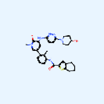 Cc1c(NC(=O)c2cc3c(s2)CCCC3)cccc1-c1cc(Nc2ccc(N3CCC(O)CC3)nn2)c(=O)n(C)c1